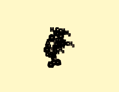 C=CC[C@H](OC(=O)C(CC(C)C)NC(=O)C(C)(C)CNC(=O)OCC1c2ccccc2-c2ccccc21)[C@H](C)[C@H]1OC(C)(C)O[C@@H]1c1ccc(COCc2ccc(OC)cc2)cc1